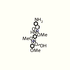 COc1ccc(/N=N/c2cc(OC)c(N/N=C3/C=Cc4cc(N)ccc4C3=O)cc2OC)c(OCCO)c1